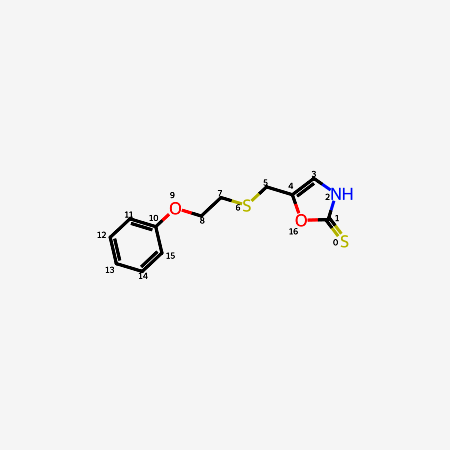 S=c1[nH]cc(CSCCOc2ccccc2)o1